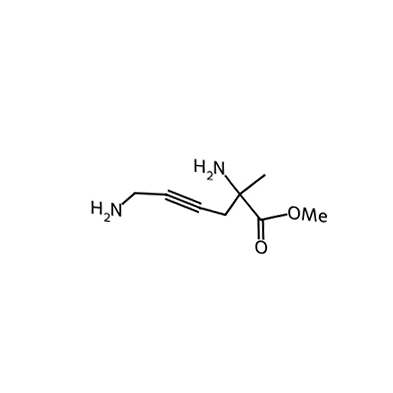 COC(=O)C(C)(N)CC#CCN